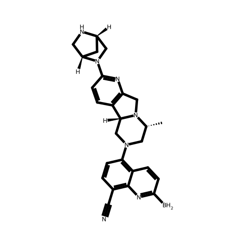 Bc1ccc2c(N3C[C@@H](C)N4Cc5nc(N6C[C@@H]7C[C@H]6CN7)ccc5[C@H]4C3)ccc(C#N)c2n1